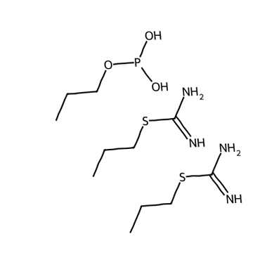 CCCOP(O)O.CCCSC(=N)N.CCCSC(=N)N